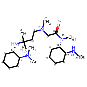 CC(=O)N(C)[C@H]1CCCC[C@@H]1NC(C)(C)CCN(C)CC(=O)N(C)[C@H]1CCCC[C@@H]1NC(C)(C)C